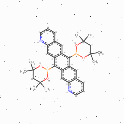 CC1(C)CC(C)(C)OP(c2c3cc4cccnc4cc3c(P3OC(C)(C)CC(C)(C)O3)c3cc4ncccc4cc23)O1